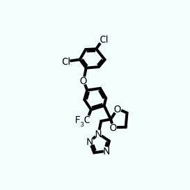 FC(F)(F)c1cc(Oc2ccc(Cl)cc2Cl)ccc1C1(Cn2cncn2)OCCO1